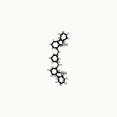 c1cc(Cc2cccc3c2[pH]c2ccccc23)cc(Cc2cccc3c2[pH]c2ccccc23)c1